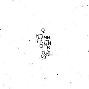 CC(=O)c1cnc2ccc(Cl)nc2c1Nc1cnc(N2CCC(NC(=O)OC(C)(C)C)C2)nc1